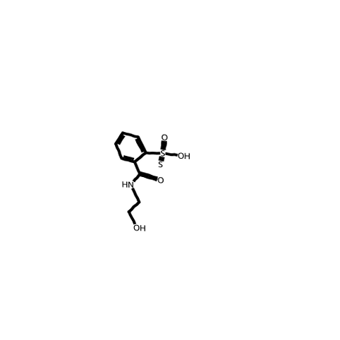 O=C(NCCO)c1ccccc1S(=O)(O)=S